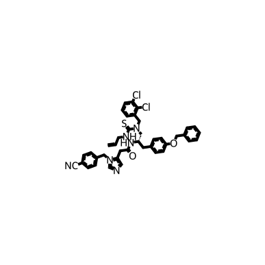 C=CCNC(=S)N(Cc1cccc(Cl)c1Cl)C[C@H](Cc1ccc(OCc2ccccc2)cc1)NC(=O)Cc1cncn1Cc1ccc(C#N)cc1